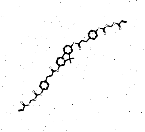 C=CC(=O)OCOC(=O)Oc1ccc(CCC(=O)Oc2ccc3c(c2)C(C)(C)c2cc(OC(=O)CCc4ccc(OC(=O)OCOC(=O)C=C)cc4)ccc2-3)cc1